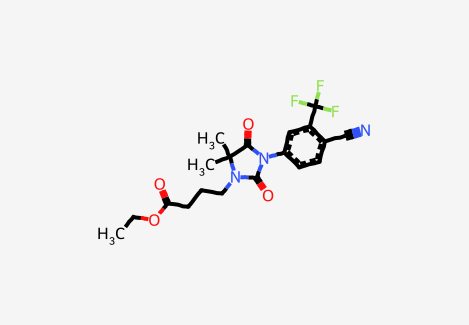 CCOC(=O)CCCN1C(=O)N(c2ccc(C#N)c(C(F)(F)F)c2)C(=O)C1(C)C